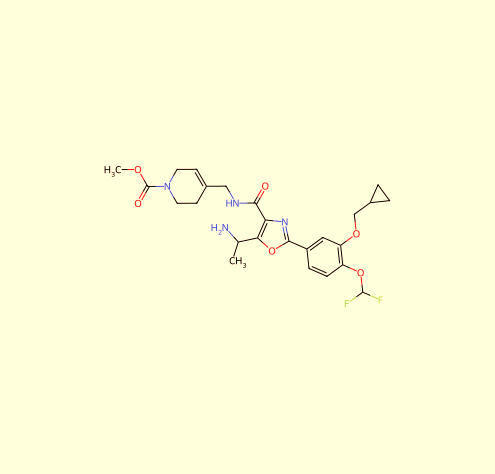 COC(=O)N1CC=C(CNC(=O)c2nc(-c3ccc(OC(F)F)c(OCC4CC4)c3)oc2C(C)N)CC1